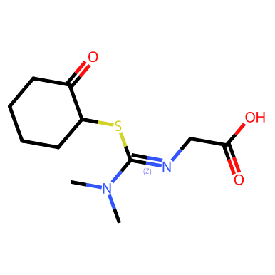 CN(C)/C(=N/CC(=O)O)SC1CCCCC1=O